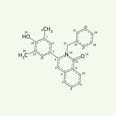 Cc1cc(-c2cc3ccccc3c(=O)n2Cc2ccccc2)cc(C)c1O